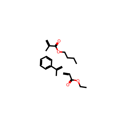 C=C(C)C(=O)OCCCC.C=C(C)c1ccccc1.C=CC(=O)OCC